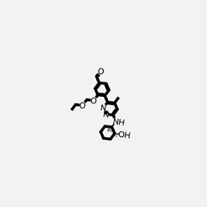 CCOCOc1cc(C=O)ccc1-c1nnc(N[C@@H]2CCCC[C@H]2O)cc1C